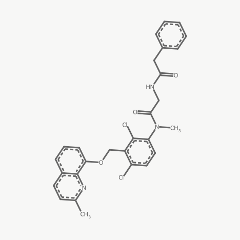 Cc1ccc2cccc(OCc3c(Cl)ccc(N(C)C(=O)CNC(=O)Cc4ccccc4)c3Cl)c2n1